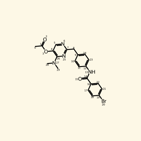 CC(=O)Oc1cnc(Cc2ccc(NC(=O)c3ccc(Br)cc3)cc2)nc1N(C)C